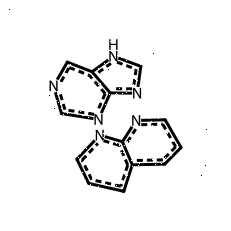 c1cnc2ncccc2c1.c1ncc2[nH]cnc2n1